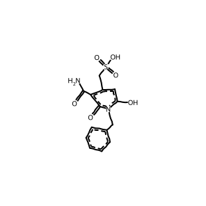 NC(=O)c1c(CS(=O)(=O)O)cc(O)n(Cc2ccccc2)c1=O